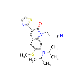 CSc1cc2cc(-c3nccs3)c(=O)n(CCC#N)c2cc1N(C(C)C)C(C)C